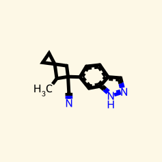 CC1C2(CC2)CC1(C#N)c1ccc2cn[nH]c2c1